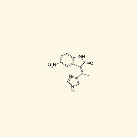 C/C(=C1\C(=O)Nc2ccc([N+](=O)[O-])cc21)c1c[nH]cn1